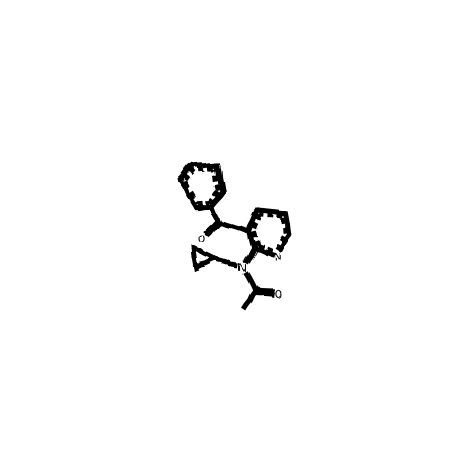 CC(=O)N(c1ncccc1C(=O)c1ccccc1)C1CC1